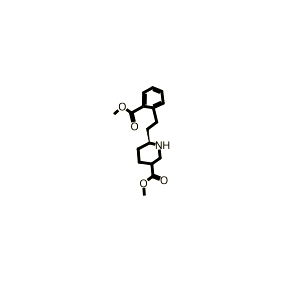 COC(=O)c1ccccc1CC[C@@H]1CCC(C(=O)OC)CN1